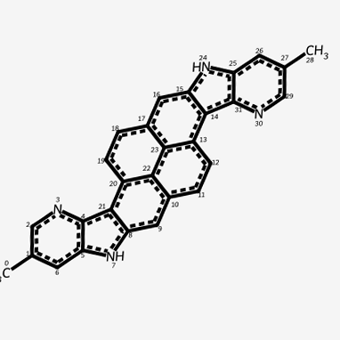 Cc1cnc2c(c1)[nH]c1cc3ccc4c5c(cc6ccc(c12)c3c64)[nH]c1cc(C)cnc15